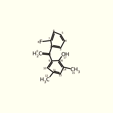 C=C(c1ccccc1F)c1cc(C)cc(C)c1O